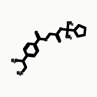 CCC(C)c1ccc(C(=O)OCC(=O)OC(C)(C)C2CCCC2)cc1